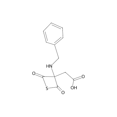 O=C(O)CC1(NCc2ccccc2)C(=O)SC1=O